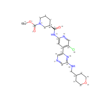 CC(C)(C)OC(=O)N1CCC[C@@H](C(=O)Nc2cc(-c3cncc(NCC4CCOCC4)n3)c(Cl)cn2)C1